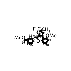 COC(=O)c1cc(NC(=O)C2OC(C)(C(F)(F)F)CC2c2ccc(F)cc2OC)ccn1